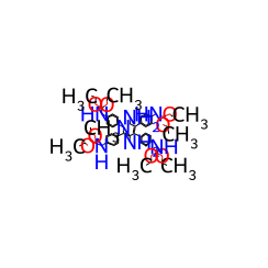 CCOC(Nc1ccc(C2=C(c3ccc(NC(OCC)OCC)cc3)C(N)N(c3ccc(NC(OCC)OCC)cc3)C(c3ccc(NC(OCC)OCC)cc3)=C2N)cc1)OCC